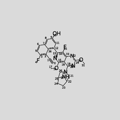 C#Cc1c(F)ccc2cc(O)cc(-c3nc(OC)c4c(N5CC6CCC(C5)N6)nc(OC)nc4c3F)c12